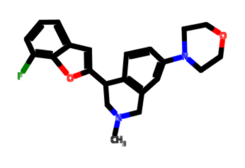 CN1Cc2cc(N3CCOCC3)ccc2C(c2cc3cccc(F)c3o2)C1